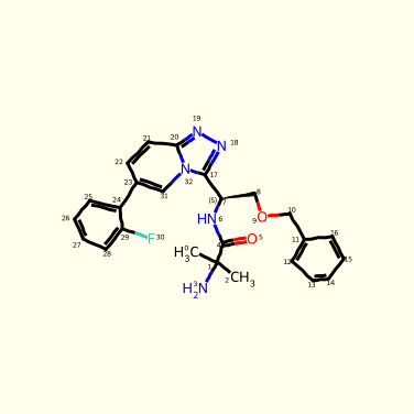 CC(C)(N)C(=O)N[C@H](COCc1ccccc1)c1nnc2ccc(-c3ccccc3F)cn12